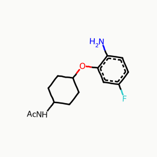 CC(=O)NC1CCC(Oc2cc(F)ccc2N)CC1